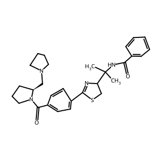 CC(C)(NC(=O)c1ccccc1)C1CSC(c2ccc(C(=O)N3CCC[C@H]3CN3CCCC3)cc2)=N1